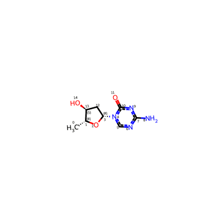 C[C@H]1O[C@@H](n2cnc(N)nc2=O)C[C@@H]1O